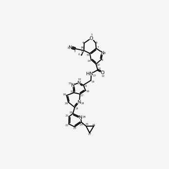 C[C@@]1(C#N)COCc2ncc(C(=O)NCc3cc4nc(-c5cccc(C6CC6)n5)ccc4nn3)cc21